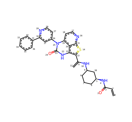 C=CC(=O)N[C@H]1CCCC(NC(=C)c2sc3nccc4c3c2NC(=O)N4c2ccnc(-c3ccccc3)c2)C1